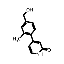 Cc1cc(CO)ccc1-c1cc[nH]c(=O)c1